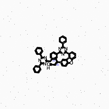 C#C/C=C(\C=C/Cc1nc(-c2ccccc2)nc(-c2ccccc2)n1)c1ccc2oc3cccc(-c4nc(C5=CC=CCC5)nc(-c5ccccc5)n4)c3c2c1